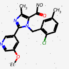 CCOc1cncc(-c2nc(C)c(C(=O)N=O)n2Cc2cc(C)ccc2Cl)c1